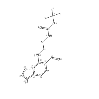 CC(C)(C)OC(=O)NCCNc1c(C=O)ccc2[nH]ccc12